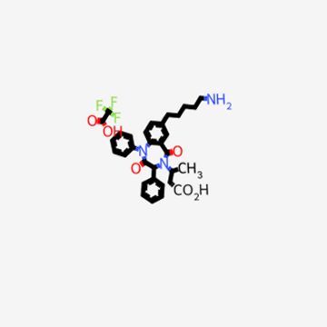 CC(CC(=O)O)N1C(=O)c2cc(CCCCCN)ccc2N(c2ccccc2)C(=O)C1c1ccccc1.O=C(O)C(F)(F)F